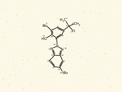 CCC(C)c1cc(C(C)(C)CC)cc(-n2nc3ccc(C(C)(C)C)cc3n2)c1O